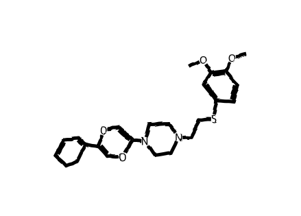 COc1ccc(SCCN2CCN(C3=COC(C4=CC=CCC4)=CO3)CC2)cc1OC